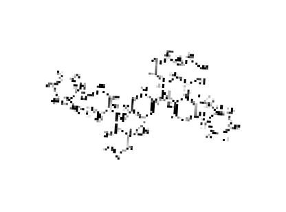 c1ccc2c(c1)Oc1cc(N(c3ccc4c(c3)oc3ccccc34)c3cccc4ccccc34)ccc1N2c1ccc2c(c1)sc1ccccc12